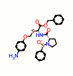 Nc1ccc(OCS[C@@H](NC(=O)[C@@H]2CCCN2[S+]([O-])c2ccccc2)C(=O)OCc2ccccc2)cc1